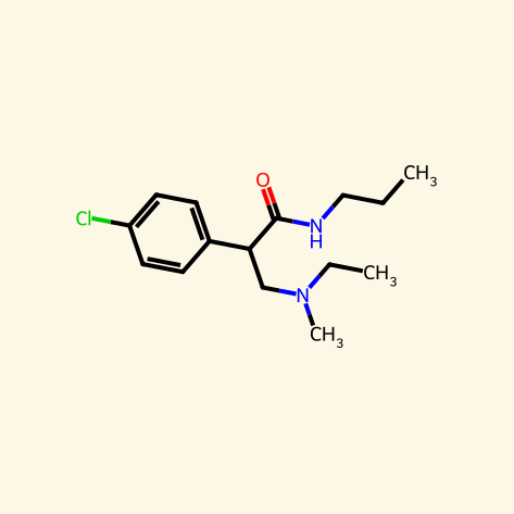 CCCNC(=O)C(CN(C)CC)c1ccc(Cl)cc1